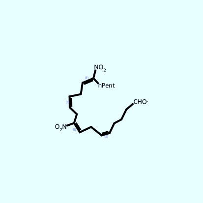 CCCCC/C(=C\C/C=C\C/C(=C\C/C=C\CCC[C]=O)[N+](=O)[O-])[N+](=O)[O-]